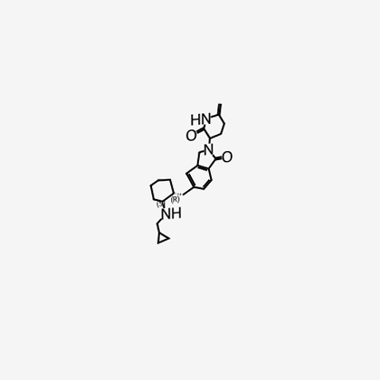 C=C1CCC(N2Cc3cc(C[C@H]4CCCC[C@@H]4NCC4CC4)ccc3C2=O)C(=O)N1